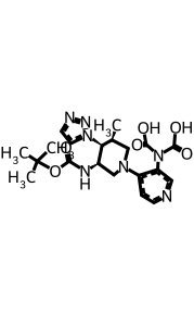 C[C@H]1CN(c2ccncc2N(C(=O)O)C(=O)O)C[C@@H](NC(=O)OC(C)(C)C)[C@H]1n1ccnn1